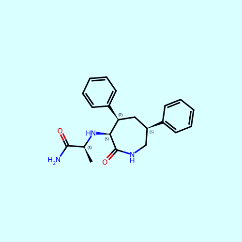 C[C@H](N[C@@H]1C(=O)NC[C@H](c2ccccc2)C[C@@H]1c1ccccc1)C(N)=O